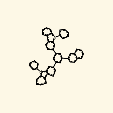 c1ccc(-n2c3ccccc3c3ccc(-c4cc(-c5ccc6ccccc6c5)cc(-c5ccc6c7ccccc7n(-c7ccccc7)c6c5)c4)cc32)cc1